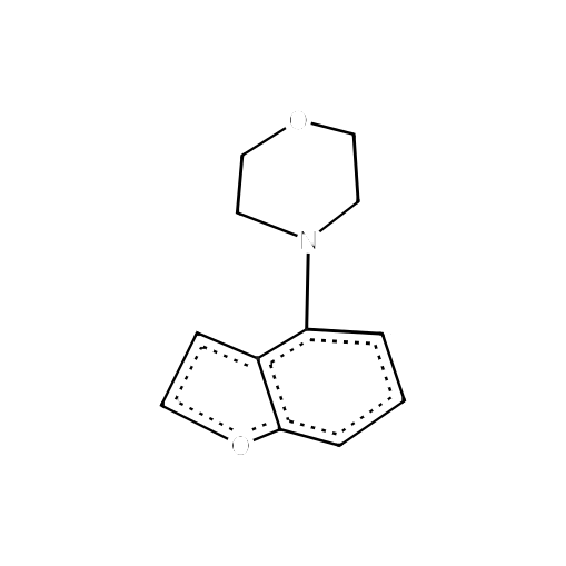 [c]1ccc2occc2c1N1CCOCC1